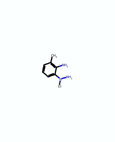 CCN(N)c1cccc(C)c1N